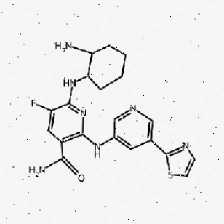 NC(=O)c1cc(F)c(NC2CCCCC2N)nc1Nc1cncc(-c2nccs2)c1